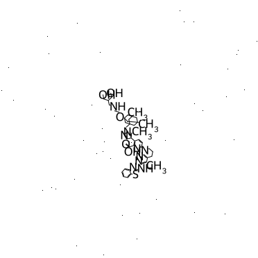 Cc1c(Nc2nc3ccccc3s2)nnc2c1CCCN2c1ccc(-c2cnn(CC34CC5(C)CC(C)(C3)CC(OCCNCC(CO)CO)(C5)C4)c2C)c(C(=O)O)n1